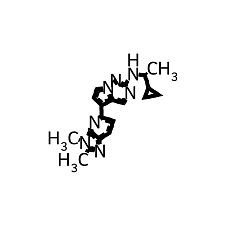 Cc1nc2ccc(-c3ccn4nc(N[C@@H](C)C5CC5)ncc34)nc2n1C